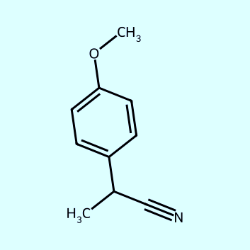 COc1ccc(C(C)C#N)cc1